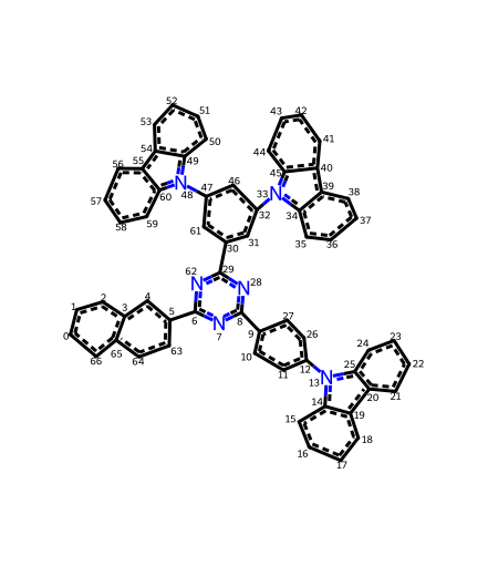 c1ccc2cc(-c3nc(-c4ccc(-n5c6ccccc6c6ccccc65)cc4)nc(-c4cc(-n5c6ccccc6c6ccccc65)cc(-n5c6ccccc6c6ccccc65)c4)n3)ccc2c1